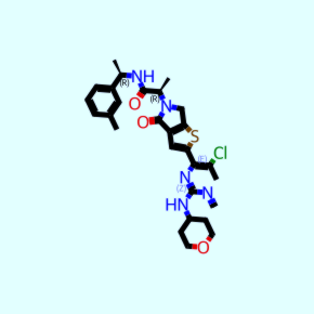 C=N/C(=N\C(=C(/C)Cl)c1cc2c(s1)CN([C@H](C)C(=O)N[C@H](C)c1cccc(C)c1)C2=O)NC1CCOCC1